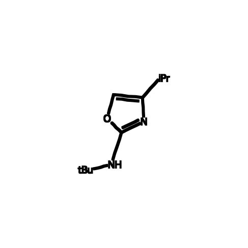 CC(C)c1coc(NC(C)(C)C)n1